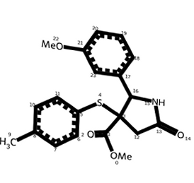 COC(=O)C1(Sc2ccc(C)cc2)CC(=O)NC1c1cccc(OC)c1